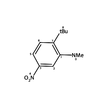 CNc1cc([N+](=O)[O-])ccc1C(C)(C)C